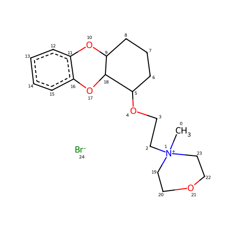 C[N+]1(CCOC2CCCC3Oc4ccccc4OC23)CCOCC1.[Br-]